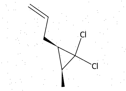 C=CC[C@@H]1[C@H](C)C1(Cl)Cl